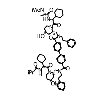 CN[C@@H](C)C(=O)N[C@H](C(=O)N1CC[C@@H](O)C[C@H]1CN(CCc1ccccc1)C(=O)c1ccc(-c2ccc(C(=O)N(CCc3ccccc3)C[C@@H]3C[C@H](O)CCN3C(=O)[C@@H](NC(=O)C(C)C)C3CCCCC3)cc2)cc1)C1CCCCC1